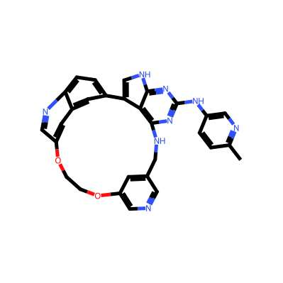 Cc1ccc(Nc2nc3c4c(c[nH]c4n2)-c2ccc4ncc(cc4c2)OCCOc2cncc(c2)CN3)cn1